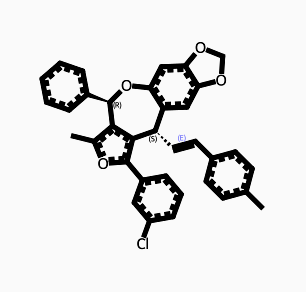 Cc1ccc(/C=C/[C@H]2c3cc4c(cc3O[C@H](c3ccccc3)c3c(C)oc(-c5cccc(Cl)c5)c32)OCO4)cc1